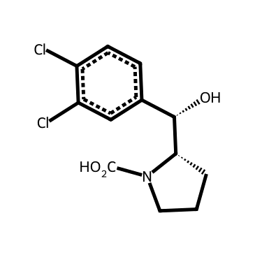 O=C(O)N1CCC[C@H]1[C@@H](O)c1ccc(Cl)c(Cl)c1